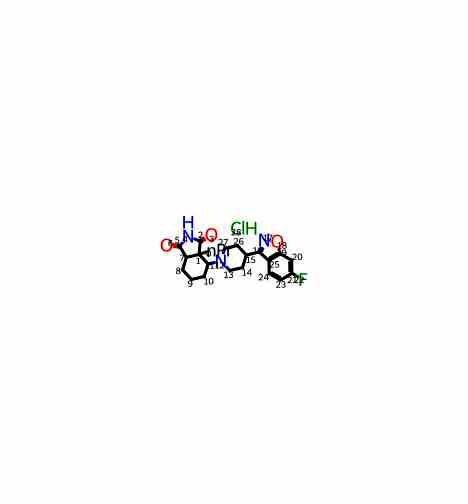 CCCC12C(=O)NC(=O)C1CCCC2N1CCC(c2noc3cc(F)ccc23)CC1.Cl